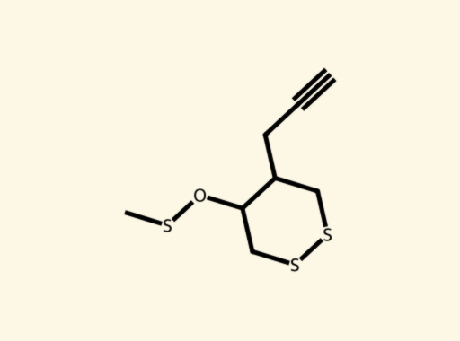 C#CCC1CSSCC1OSC